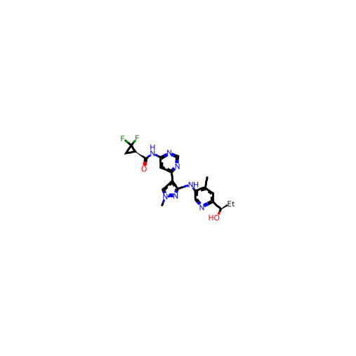 CC[C@@H](O)c1cc(C)c(Nc2nn(C)cc2-c2cc(NC(=O)[C@H]3CC3(F)F)ncn2)cn1